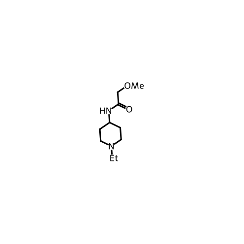 CCN1CCC(NC(=O)COC)CC1